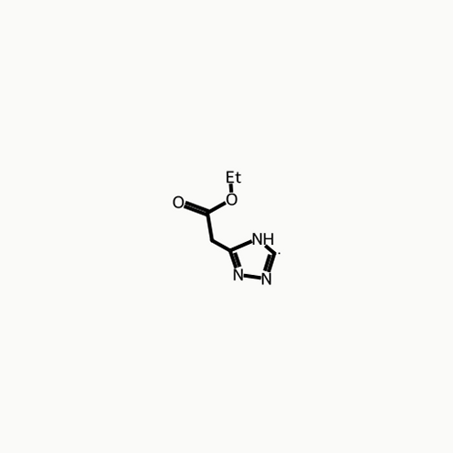 CCOC(=O)Cc1nn[c][nH]1